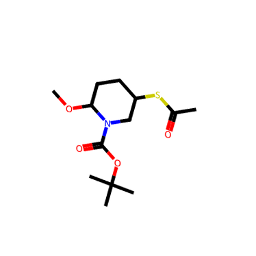 COC1CCC(SC(C)=O)CN1C(=O)OC(C)(C)C